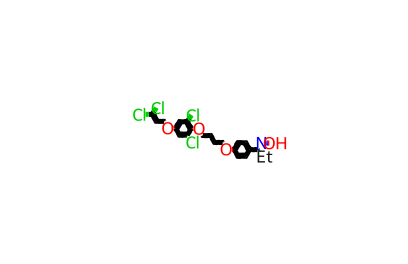 CCC(=NO)c1ccc(OCCCCOc2c(Cl)cc(OCC=C(Cl)Cl)cc2Cl)cc1